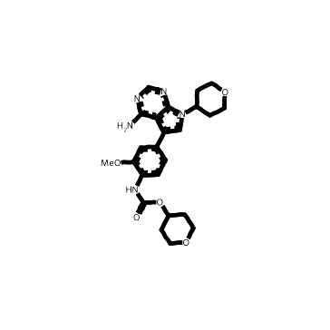 COc1cc(-c2cn(C3CCOCC3)c3ncnc(N)c23)ccc1NC(=O)OC1CCOCC1